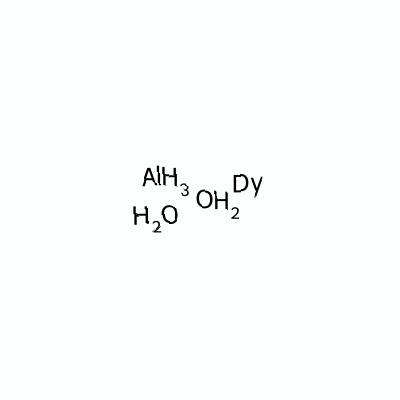 O.O.[AlH3].[Dy]